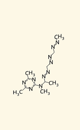 CN=NCN=NCN=NC(C)N(C)c1nc(C)nc(C)n1